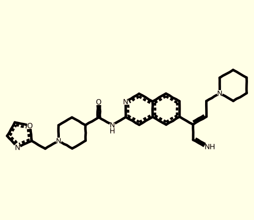 N=C/C(=C/CN1CCCCC1)c1ccc2cnc(NC(=O)C3CCN(Cc4ncco4)CC3)cc2c1